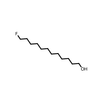 OCCCCCCCCCCCCF